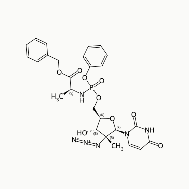 C[C@H](NP(=O)(OC[C@H]1O[C@@H](n2ccc(=O)[nH]c2=O)[C@](C)(N=[N+]=[N-])[C@@H]1O)Oc1ccccc1)C(=O)OCc1ccccc1